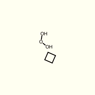 C1CCC1.OOO